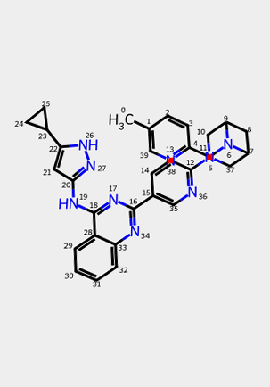 Cc1ccc(CN2C3CC2CN(c2ccc(-c4nc(Nc5cc(C6CC6)[nH]n5)c5ccccc5n4)cn2)C3)nc1